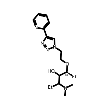 CCC(C(O)[C@H](CC)OCCn1cc(-c2ccccn2)nn1)N(C)C